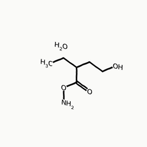 CCC(CCO)C(=O)ON.O